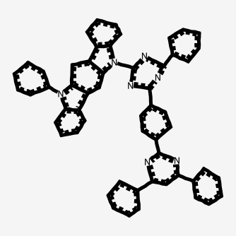 c1ccc(-c2cc(-c3ccccc3)nc(-c3ccc(-c4nc(-c5ccccc5)nc(-n5c6ccccc6c6cc7c(cc65)c5ccccc5n7-c5ccccc5)n4)cc3)n2)cc1